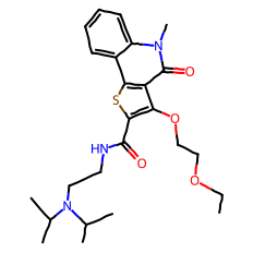 CCOCCOc1c(C(=O)NCCN(C(C)C)C(C)C)sc2c1c(=O)n(C)c1ccccc21